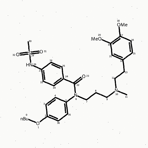 CCCCOc1ccc(N(CCCN(C)CCc2ccc(OC)c(OC)c2)C(=O)c2ccc(NS(C)(=O)=O)cc2)cc1